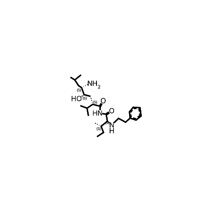 CC[C@H](C)[C@H](NCCc1ccccc1)C(=O)NC(=O)[C@@H](C[C@H](O)[C@@H](N)CC(C)C)C(C)C